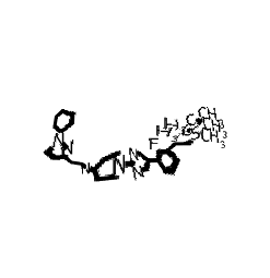 CC(C)(C)S(C)(C)CCc1cccc(-c2cnc(N3CCC(=NCCc4ccn(C5CCCCC5)n4)CC3)nc2)c1F